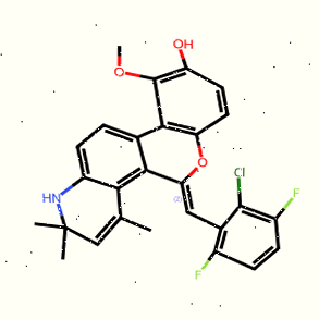 COc1c(O)ccc2c1-c1ccc3c(c1/C(=C/c1c(F)ccc(F)c1Cl)O2)C(C)=CC(C)(C)N3